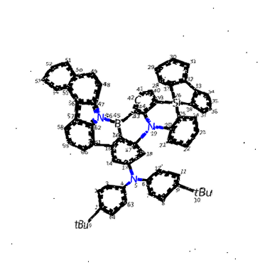 CC(C)(C)c1ccc(N(c2ccc(C(C)(C)C)cc2)c2cc3c4c(c2)N2c5ccccc5[Si]5(c6ccccc6-c6ccccc65)c5cccc(c52)B4n2c4ccc5ccccc5c4c4cccc-3c42)cc1